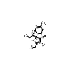 CCC(C)CC(=O)[C@@]1(n2ccc(N)nc2=O)O[C@H](CO)[C@@H](O)[C@H]1O